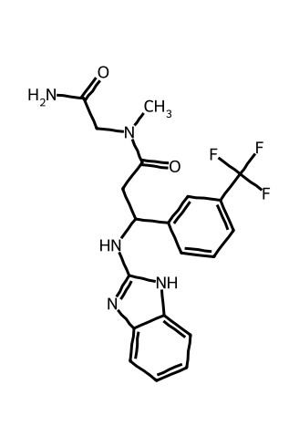 CN(CC(N)=O)C(=O)CC(Nc1nc2ccccc2[nH]1)c1cccc(C(F)(F)F)c1